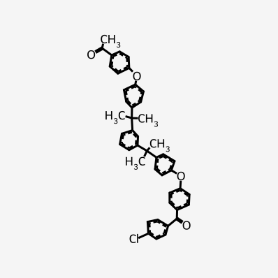 CC(=O)c1ccc(Oc2ccc(C(C)(C)c3cccc(C(C)(C)c4ccc(Oc5ccc(C(=O)c6ccc(Cl)cc6)cc5)cc4)c3)cc2)cc1